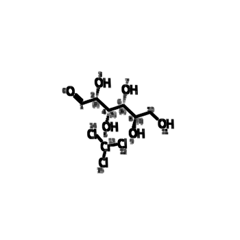 O=C[C@H](O)[C@@H](O)[C@H](O)[C@H](O)CO.[Cl][Cr]([Cl])[Cl]